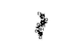 CCN1CCN(C(=O)c2ccc(NC(=O)C(C)NC(=O)c3ccc(Cl)s3)cc2C)CC1